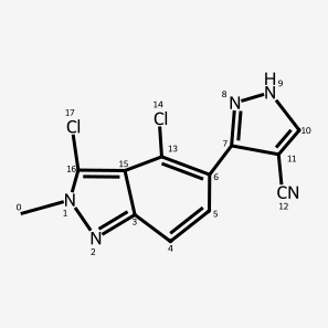 Cn1nc2ccc(-c3n[nH]cc3C#N)c(Cl)c2c1Cl